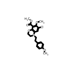 COC(=O)c1c(OC)c(Cl)cc2c1OCCN2CCc1ccc(OC)cc1